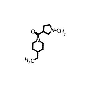 CCC1CCN(C(=O)C2CCN(C)C2)CC1